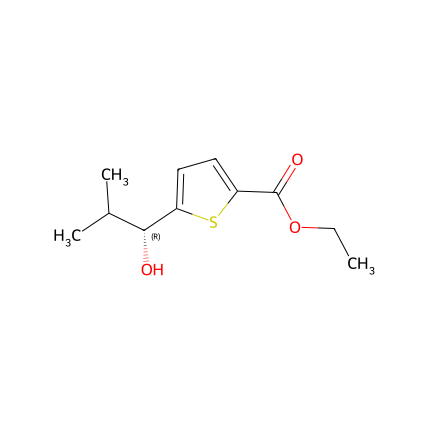 CCOC(=O)c1ccc([C@H](O)C(C)C)s1